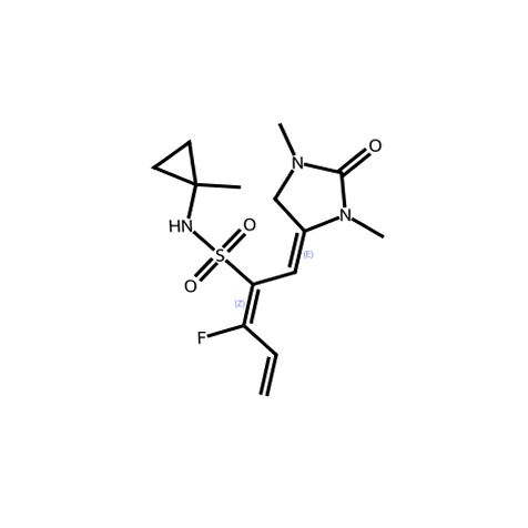 C=C/C(F)=C(\C=C1/CN(C)C(=O)N1C)S(=O)(=O)NC1(C)CC1